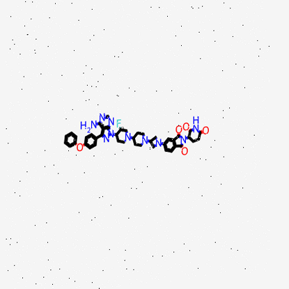 Nc1ncnc2c1c(-c1ccc(Oc3ccccc3)cc1)nn2C1CCN(C2CCN(C3CN(c4ccc5c(c4)C(=O)N(C4CCC(=O)NC4=O)C5=O)C3)CC2)C[C@@H]1F